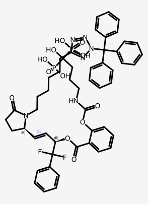 O=C(NCCCC(O)(P(=O)(O)O)P(=O)(O)O)Oc1ccccc1C(=O)O[C@H](/C=C/[C@H]1CCC(=O)N1CCCCCCc1nnn(C(c2ccccc2)(c2ccccc2)c2ccccc2)n1)C(F)(F)c1ccccc1